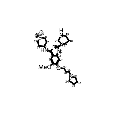 COc1cc2c(NC3CCS(=O)(=O)CC3)nc(N3CCCNC3)nc2cc1OCCCN1CCCC1